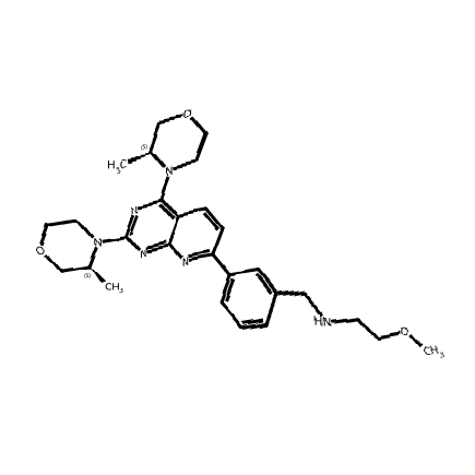 COCCNCc1cccc(-c2ccc3c(N4CCOC[C@@H]4C)nc(N4CCOC[C@@H]4C)nc3n2)c1